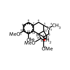 C=C1CN(C)C2Cc3ccc(OC)c(O)c3[C@@]13C(OC)C(OC)=CCC23